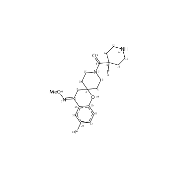 CO/N=C1\CC2(CCN(C(=O)C3(F)CCNCC3)CC2)Oc2ccc(F)cc21